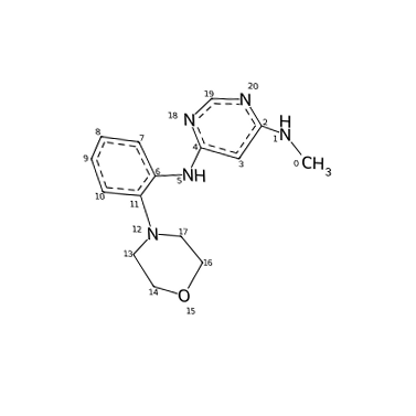 CNc1cc(Nc2ccccc2N2CCOCC2)ncn1